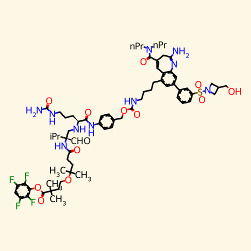 CCCN(CCC)C(=O)C1=Cc2c(CCCCNC(=O)OCc3ccc(NC(=O)[C@H](CCCNC(N)=O)NC[C@](C=O)(NC(=O)CCC(C)(C)OCCC(C)(C)C(=O)Oc4c(F)c(F)cc(F)c4F)C(C)C)cc3)cc(-c3cccc(S(=O)(=O)N4CC(CO)C4)c3)cc2N=C(N)C1